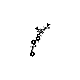 O=C(CNC(=O)C(c1nc2cc(F)c(-c3cccc(NC(=O)OCc4ccccc4)c3)cc2s1)S(=O)(=O)C1CC1)NC1CC1